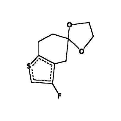 Fc1csc2c1CC1(CC2)OCCO1